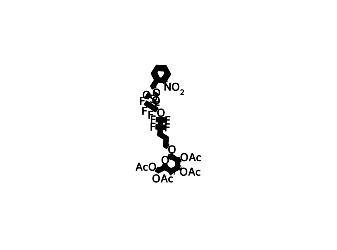 CC(=O)OCC1O[C@@H](OCCCC(F)(F)C(F)(F)OC(F)(F)C(F)(F)S(=O)(=O)OCc2ccccc2[N+](=O)[O-])C(OC(C)=O)[C@@H](OC(C)=O)[C@@H]1OC(C)=O